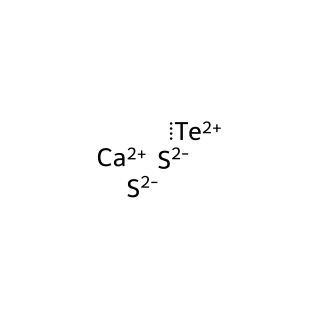 [Ca+2].[S-2].[S-2].[Te+2]